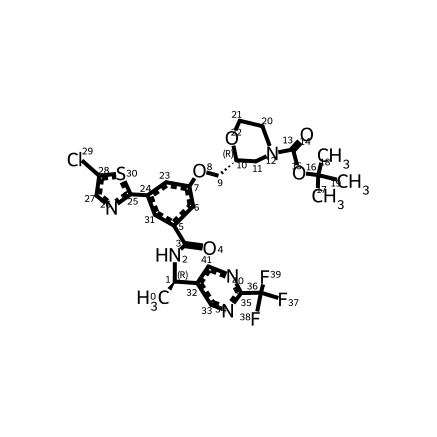 C[C@@H](NC(=O)c1cc(OC[C@H]2CN(C(=O)OC(C)(C)C)CCO2)cc(-c2ncc(Cl)s2)c1)c1cnc(C(F)(F)F)nc1